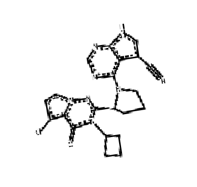 N#Cc1c[nH]c2ncnc(N3CCC[C@H]3c3nn4ccc(Cl)c4c(=O)n3C3CCC3)c12